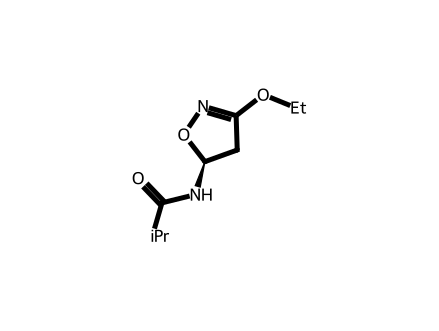 CCOC1=NO[C@H](NC(=O)C(C)C)C1